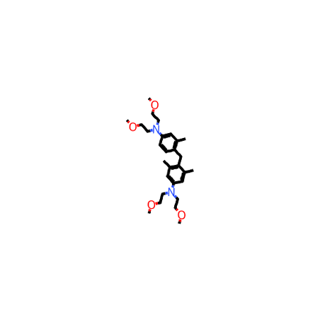 COCCN(CCOC)c1ccc(Cc2c(C)cc(N(CCOC)CCOC)cc2C)c(C)c1